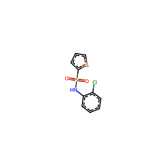 O=S(=O)(Nc1ccccc1Cl)c1cccs1